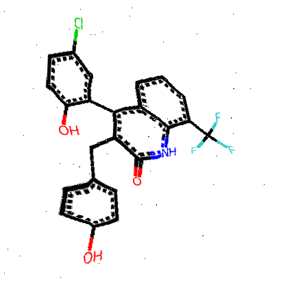 O=c1[nH]c2c(C(F)(F)F)cccc2c(-c2cc(Cl)ccc2O)c1Cc1ccc(O)cc1